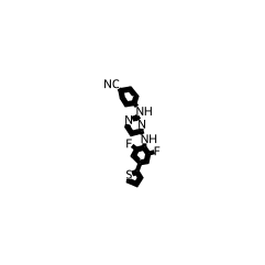 N#Cc1ccc(Nc2nccc(Nc3c(F)cc(-c4cccs4)cc3F)n2)cc1